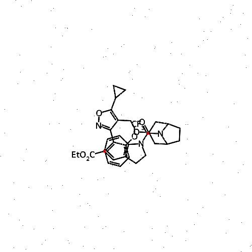 CCOC(=O)c1ccc2c(c1)CCN2C(=O)N1C2CCC1CC(OCc1c(-c3ccccc3OC(F)(F)F)noc1C1CC1)C2